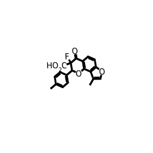 Cc1ccc(C2Oc3c(ccc4occ(C)c34)C(=O)C2(F)C(=O)O)cc1